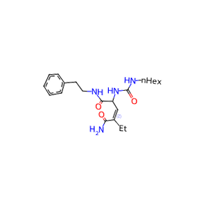 CCCCCCNC(=O)NC(/C=C(/CC)C(N)=O)C(=O)NCCc1ccccc1